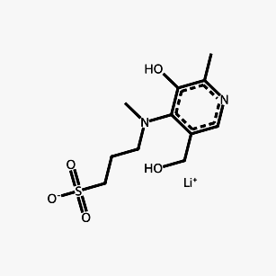 Cc1ncc(CO)c(N(C)CCCS(=O)(=O)[O-])c1O.[Li+]